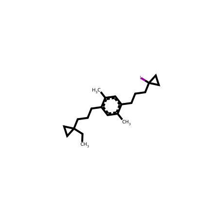 CCC1(CCCc2cc(C)c(CCCC3(I)CC3)cc2C)CC1